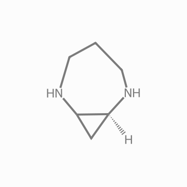 C1CNC2C[C@@H]2NC1